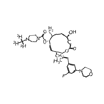 [2H]C([2H])([2H])N1CCN(C(=O)O[C@H]2/C=C/[C@H](C)[C@@H](/C(C)=C/c3cc(F)cc(N4CCOCC4)c3)OC(=O)C[C@H](O)CC[C@@H]2C)CC1